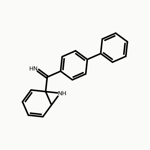 N=C(c1ccc(-c2ccccc2)cc1)C12C=CC=CC1N2